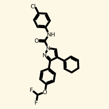 O=C(Nc1ccc(Cl)cc1)n1cc(C2=CCCC=C2)c(-c2ccc(OC(F)F)cc2)n1